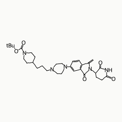 C=C1c2ccc(N3CCN(CCCC4CCN(C(=O)OC(C)(C)C)CC4)CC3)cc2C(=O)N1C1CCC(=O)NC1=O